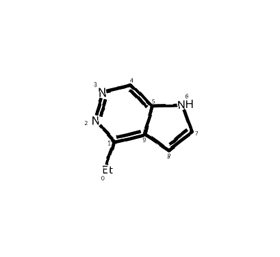 CCc1nncc2[nH]ccc12